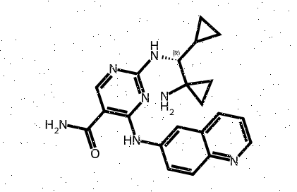 NC(=O)c1cnc(N[C@H](C2CC2)C2(N)CC2)nc1Nc1ccc2ncccc2c1